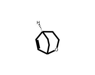 C1=C[C@H]2CCOC1CC2